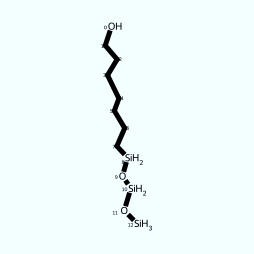 OCCCCCCC[SiH2]O[SiH2]O[SiH3]